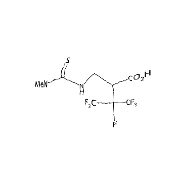 CNC(=S)NCC(C(=O)O)C(F)(C(F)(F)F)C(F)(F)F